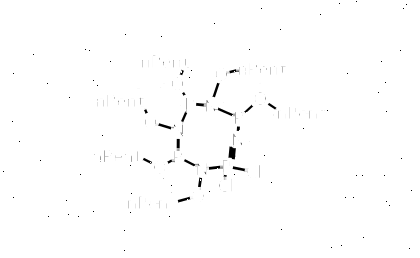 CCCCCON1P(OCCCCC)N=P(Cl)(Cl)N(OCCCCC)P(OCCCCC)N(OCCCCC)P1OCCCCC